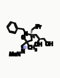 CN/N=C/C1(C)C[C@](CC(C)C)(CC(O)CO)N(Cc2ccccc2)O1